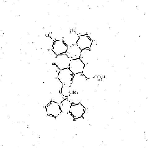 C[C@H](CCO[Si](c1ccccc1)(c1ccccc1)C(C)(C)C)N1C(=O)C(CC(=O)O)CC(c2cccc(Cl)c2)C1c1ccc(Cl)cc1